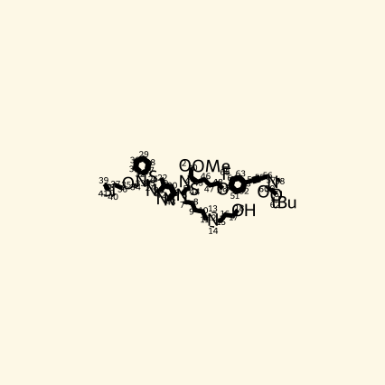 COC(=O)c1nc(N(CCCCC[N+](C)(C)CCCO)c2cc(C)c(/N=c3\sc4ccccc4n3COCC[Si](C)(C)C)nn2)sc1CCCOc1ccc(C#CCN(C)C(=O)OC(C)(C)C)cc1F